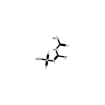 CNS(=O)(=O)N=C(NC(=O)OC)C(C)C